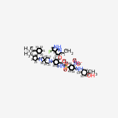 C=Cc1nc2[nH]cc(F)c2cc1Oc1cc(N2CCC3(CC2)CN([C@@H]2CCC[C@@H]2c2ccccc2C(C)C)C3)ccc1C(=O)NS(=O)(=O)c1ccc(NC[C@H]2CC[C@](C)(O)CC2)c([N+](=O)[O-])c1